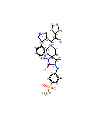 CCN1C(=O)N(Cc2ccc(S(C)(=O)=O)cc2)C(=O)C12CCN(C(C(=O)C1CCCC1)[C@@H]1CNC[C@@H]1c1ccccc1)CC2